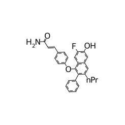 CCCc1cc2cc(O)c(F)cc2c(Oc2ccc(C=CC(N)=O)cc2)c1-c1ccccc1